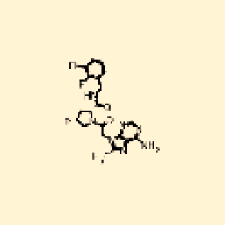 Cc1nc2c(N)ncnc2n1CC(=O)N1C[C@H](F)C[C@@H]1C(=O)NCc1cccc(Cl)c1F